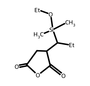 CCO[Si](C)(C)C(CC)C1CC(=O)OC1=O